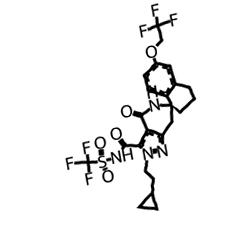 O=C1N[C@@]2(CCCc3cc(OCC(F)(F)F)ccc32)Cc2nn(CCC3CC3)c(C(=O)NS(=O)(=O)C(F)(F)F)c21